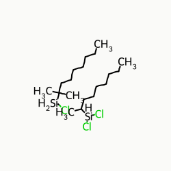 CCCCCCCC(C)(C)[SiH2]Cl.CCCCCCCC(C)[SiH](Cl)Cl